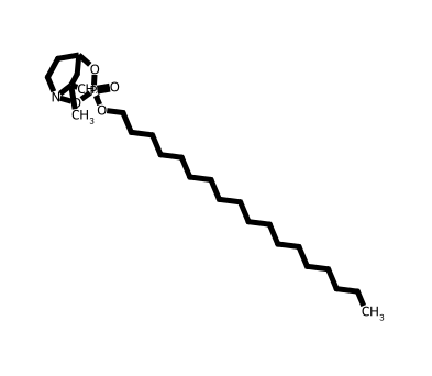 CCCCCCCCCCCCCCCCCCOP1(=O)OC2CCN(O1)C(C)(C)C2